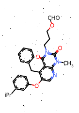 CC(C)c1cccc(Oc2cnc3c(c2Cc2ccccc2)c(=O)n(CCCOC=O)c(=O)n3C)c1